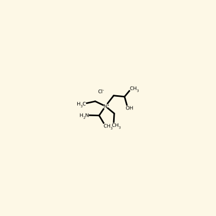 CC[N+](CC)(CC(C)O)C(C)N.[Cl-]